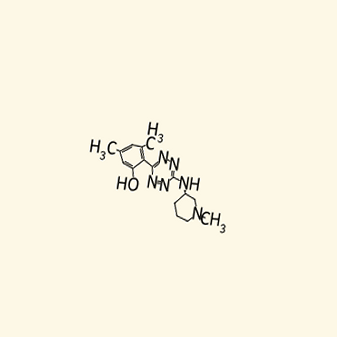 Cc1cc(C)c(-c2nnc(N[C@@H]3CCCN(C)C3)nn2)c(O)c1